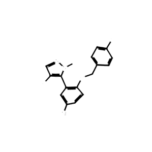 Cn1ncc(Br)c1-c1cc(N)ccc1OCc1ccc(Cl)cc1